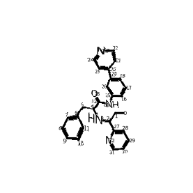 CCC(N[C@@H](Cc1ccccc1)C(=O)Nc1cccc(-c2ccncc2)c1)c1ccccn1